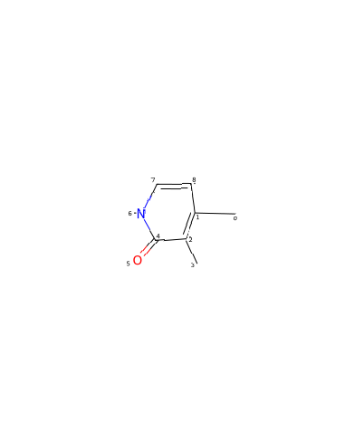 CC1=C(C)C(=O)[N]C=[C]1